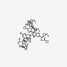 Cc1cc(Cl)ccc1-c1ccc2c(=O)n(C3=CC=C(Cl)C4C(NS(C)(=O)=O)=NN(C)C34)c([C@H](Cc3cc(F)cc(F)c3)NC(=O)Cn3nc(C(F)F)c4c3C(F)(F)[C@@H]3C[C@H]43)nc2c1